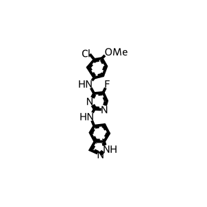 COc1ccc(Nc2nc(Nc3ccc4[nH]ncc4c3)ncc2F)cc1Cl